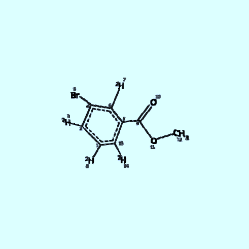 [2H]c1c([2H])c(Br)c([2H])c(C(=O)OC)c1[2H]